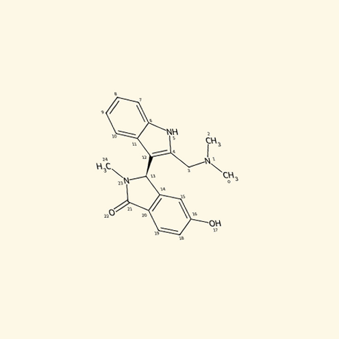 CN(C)Cc1[nH]c2ccccc2c1[C@H]1c2cc(O)ccc2C(=O)N1C